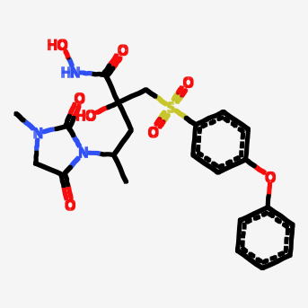 CC(CC(O)(CS(=O)(=O)c1ccc(Oc2ccccc2)cc1)C(=O)NO)N1C(=O)CN(C)C1=O